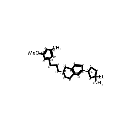 CC[C@@]1(N)CC[C@H](c2ccc3c(c2)CC[C@@H](CCCc2cc(C)cc(OC)c2)C3)C1